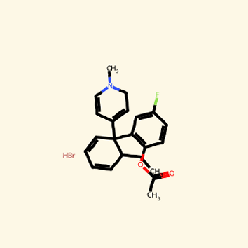 Br.CCC1C=CC=CC1(C1=CCN(C)C=C1)c1cc(F)ccc1OC(C)=O